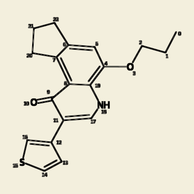 CCCOc1cc2c(c3c(=O)c(-c4ccsc4)c[nH]c13)CCC2